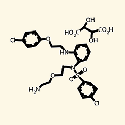 NCCOCCN(c1ccccc1NCCOc1ccc(Cl)cc1)S(=O)(=O)c1ccc(Cl)cc1.O=C(O)C(O)C(O)C(=O)O